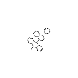 Ic1c2ccccc2c(-c2ccc(-c3ccccc3)c3ccccc23)c2ccccc12